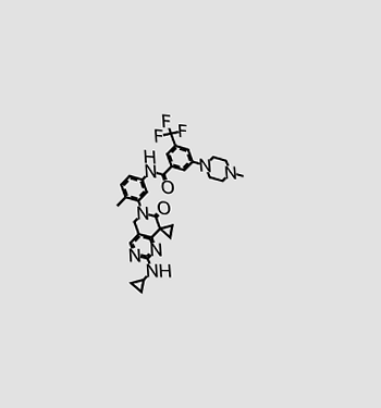 Cc1ccc(NC(=O)c2cc(N3CCN(C)CC3)cc(C(F)(F)F)c2)cc1N1Cc2cnc(NC3CC3)nc2C2(CC2)C1=O